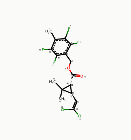 Cc1c(F)c(F)c(COC(=O)[C@@H]2[C@@H](C=C(Cl)Cl)C2(C)C)c(F)c1F